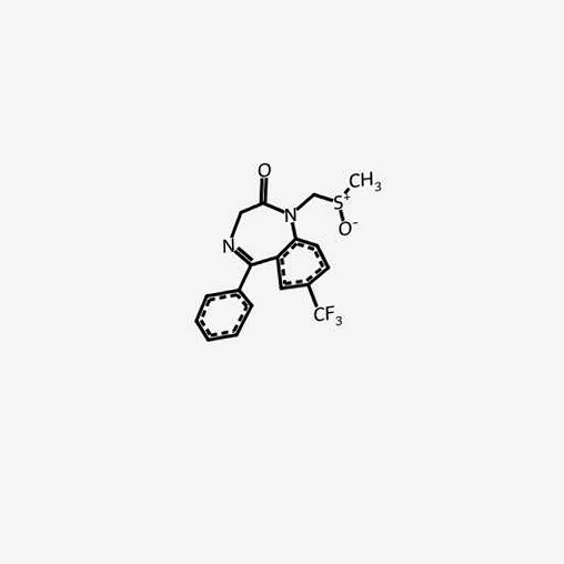 C[S+]([O-])CN1C(=O)CN=C(c2ccccc2)c2cc(C(F)(F)F)ccc21